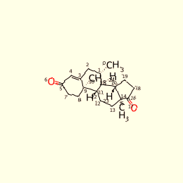 C[C@H]1CC2=CC(=O)CC[C@]2(C)[C@H]2CC[C@]3(C)C(=O)CC[C@H]3[C@H]12